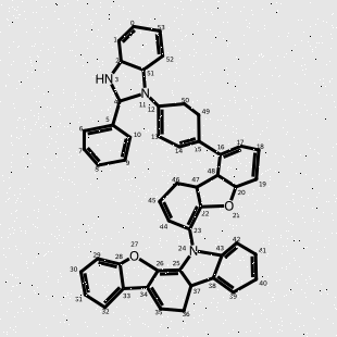 C1=CC2NC(c3ccccc3)N(C3=CC=C(C4=CC=CC5OC6=C(N7C8=c9oc%10ccccc%10c9=CCC8c8ccccc87)C=CCC6C45)CC3)C2C=C1